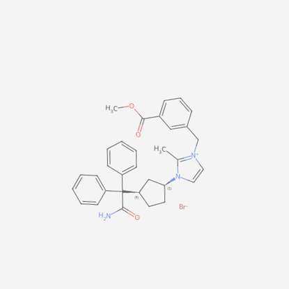 COC(=O)c1cccc(C[n+]2ccn([C@H]3CC[C@@H](C(C(N)=O)(c4ccccc4)c4ccccc4)C3)c2C)c1.[Br-]